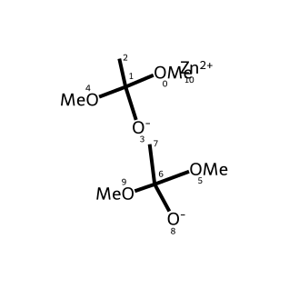 COC(C)([O-])OC.COC(C)([O-])OC.[Zn+2]